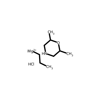 CC1CNCC(C)O1.CC[CH2][Mg+2].Cl